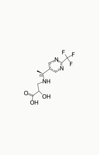 C[C@H](NCC(O)C(=O)O)c1cnc(C(F)(F)F)nc1